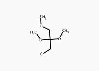 COC(CCl)(CO[SiH3])OC